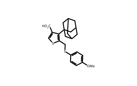 COc1ccc(SCc2scc(C(=O)O)c2C23CC4CC(CC(C4)C2)C3)cc1